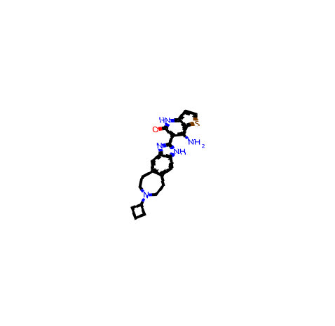 Nc1c(-c2nc3cc4c(cc3[nH]2)CCN(C2CCC2)CC4)c(=O)[nH]c2ccsc12